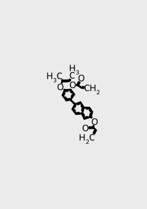 C=CC(=O)OC(C)=C(C)Oc1ccc(-c2ccc3cc(OC(=O)C=C)ccc3c2)cc1